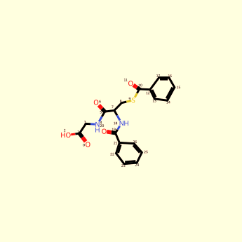 O=C(O)CNC(=O)C(CSC(=O)c1ccccc1)NC(=O)c1ccccc1